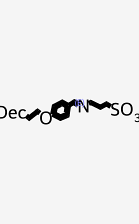 CCCCCCCCCCCCOc1ccc(/C=N/CCCS(=O)(=O)O)cc1